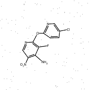 Nc1c([N+](=O)[O-])cnc(Oc2ccc(Cl)cn2)c1F